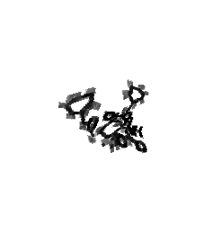 O=C1N[C@@H]2[C@@H](OCc3ccccc3)[C@H](O)[C@@H](COCc3ccccc3)C[C@@H]2O1